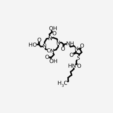 CCCCCCNC(=O)CSC1CC(=O)N(CCNC(=O)CN2CCN(CC(=O)O)CCN(CC(=O)O)CCN(CC(=O)O)CC2)C1=O